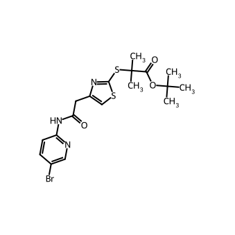 CC(C)(C)OC(=O)C(C)(C)Sc1nc(CC(=O)Nc2ccc(Br)cn2)cs1